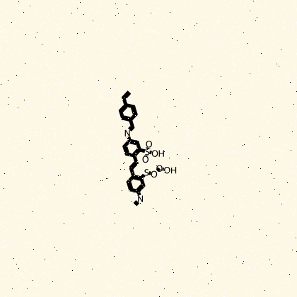 C=Cc1ccc(/C=N/c2ccc(/C=C/c3ccc(N=C)cc3SOOO)c(S(=O)(=O)O)c2)cc1